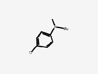 CCC(C)N(C)c1ccc(Cl)cc1